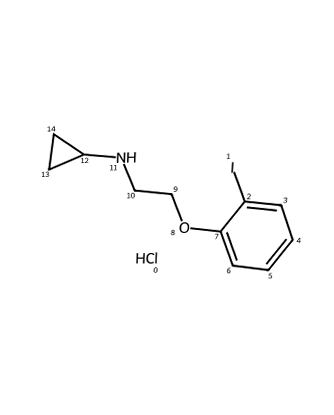 Cl.Ic1ccccc1OCCNC1CC1